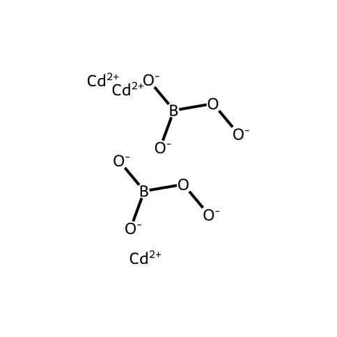 [Cd+2].[Cd+2].[Cd+2].[O-]OB([O-])[O-].[O-]OB([O-])[O-]